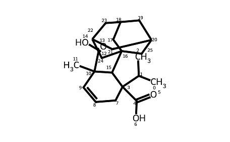 CC(C)C1(C(=O)O)CC=CC(C)(C(=O)O)C1C12CC3CC(CC(C3)C1)C2